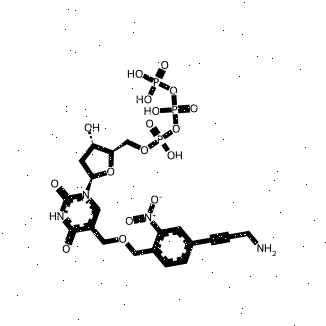 NCC#Cc1ccc(COCc2cn([C@H]3C[C@H](O)[C@@H](COP(=O)(O)OP(=O)(O)OP(=O)(O)O)O3)c(=O)[nH]c2=O)c([N+](=O)[O-])c1